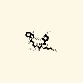 CCOc1ccc(C(=O)N[C@@H](CCCCN)C(=O)N[C@H](CCC(=O)N2[C@H](C(=O)O)C[C@@H]3CCCC[C@@H]32)C(=O)O)cn1